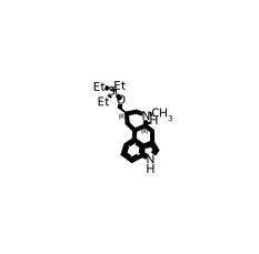 CC[Si](CC)(CC)OC[C@@H]1CC2c3cccc4[nH]cc(c34)C[C@H]2N(C)C1